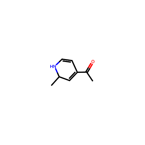 CC(=O)C1=CC(C)NC=C1